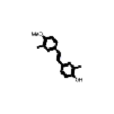 COc1ccc(/C=C/c2ccc(O)c(C)c2)cc1C